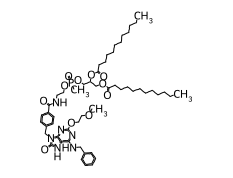 CCCCCCCCCCCC(=O)OCC(COP(C)(=O)OCCNC(=O)c1ccc(Cn2c(=O)[nH]c3c(NCc4ccccc4)nc(OCCOC)nc32)cc1)OC(=O)CCCCCCCCCCC